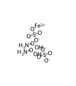 O=S(=O)([O-])[O-].O=S(=O)([O-])[O-].[Fe+2].[NH3+]OO.[NH3+]OO